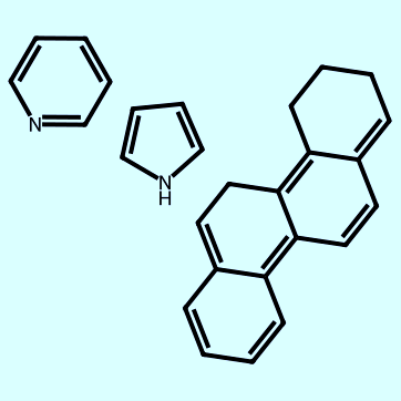 C1=c2ccc3c(c2CCC1)CC=c1ccccc1=3.c1cc[nH]c1.c1ccncc1